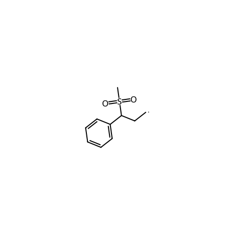 [CH2]CC(c1ccccc1)S(C)(=O)=O